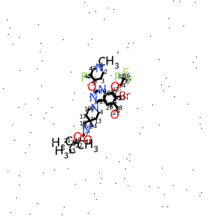 CN1CCC(Oc2nc(N3CCC4(CC3)CN(C(=O)OC(C)(C)C)C4)c3cc(C=O)c(Br)c(OCC(F)(F)F)c3n2)C(F)C1